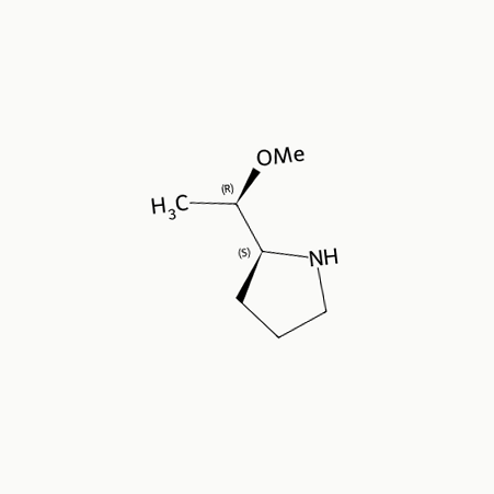 CO[C@H](C)[C@@H]1CCCN1